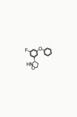 Fc1cc(Oc2ccccc2)cc([C@H]2CCON2)c1